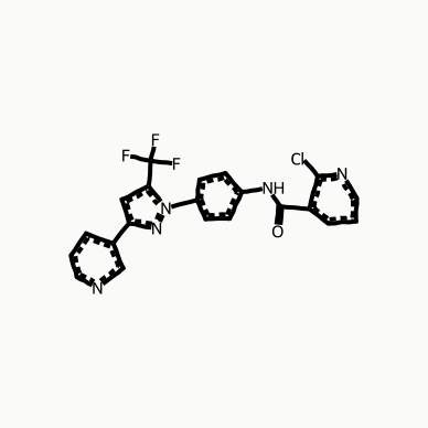 O=C(Nc1ccc(-n2nc(-c3cccnc3)cc2C(F)(F)F)cc1)c1cccnc1Cl